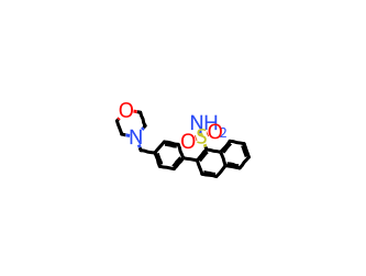 NS(=O)(=O)c1c(-c2ccc(CN3CCOCC3)cc2)ccc2ccccc12